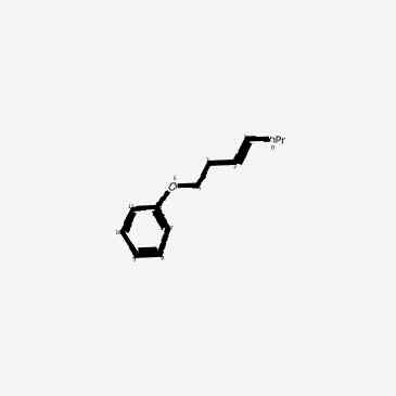 CCCC=CCCOc1cc[c]cc1